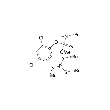 CCCCSP(SCCCC)SCCCC.COP(=S)(NC(C)C)Oc1ccc(Cl)cc1Cl